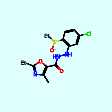 CCc1nc(C)c(C(=O)NNc2cc(Cl)ccc2[S+]([O-])CC)o1